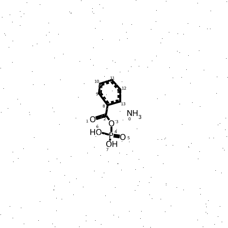 N.O=C(OP(=O)(O)O)c1ccccc1